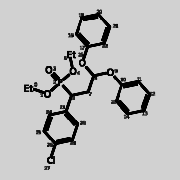 CCOP(=O)(OCC)C(CC(Oc1ccccc1)Oc1ccccc1)c1ccc(Cl)cc1